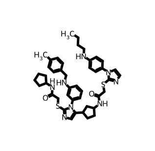 CCCCNc1ccc(-n2ccnc2SCC(=O)NC2CCC(c3cnc(SCC(=O)NC4CCCC4)n3-c3cccc(NCc4ccc(C)cc4)c3)C2)cc1